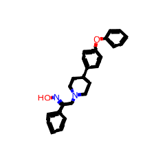 ON=C(CN1CCC(c2ccc(Oc3ccccc3)cc2)CC1)c1ccccc1